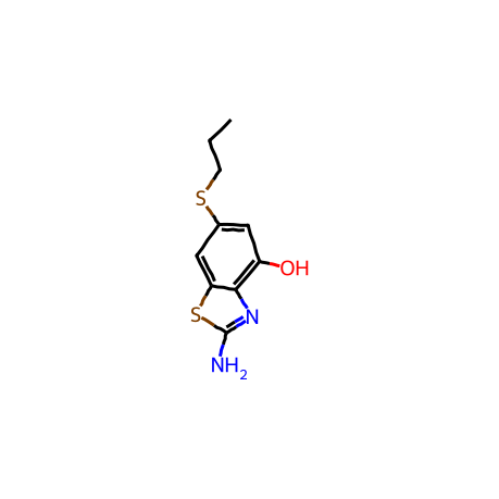 CCCSc1cc(O)c2nc(N)sc2c1